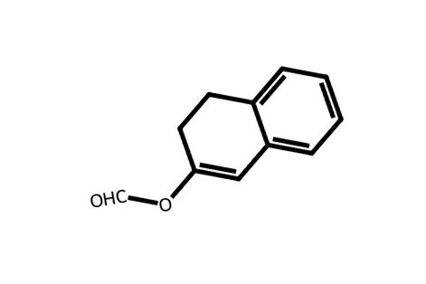 O=COC1=Cc2ccccc2CC1